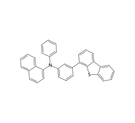 c1ccc(N(c2cccc(-c3cccc4c3sc3ccccc34)c2)c2cccc3ccccc23)cc1